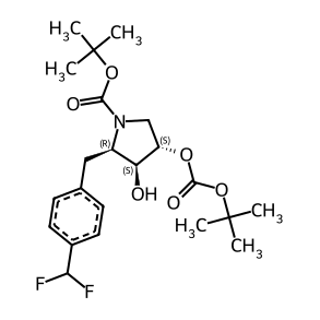 CC(C)(C)OC(=O)O[C@H]1CN(C(=O)OC(C)(C)C)[C@H](Cc2ccc(C(F)F)cc2)[C@@H]1O